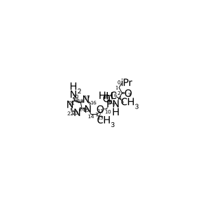 CC(C)CC(=O)C(C)(C)N[PH](=O)CO[C@H](C)Cn1cnc2c(N)ncnc21